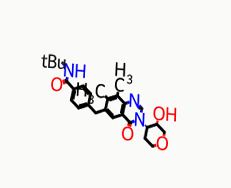 Cc1c(Cc2ccc(C(=O)NC(C)(C)C)cc2)cc2c(=O)n([C@H]3CCOC[C@@H]3O)cnc2c1C